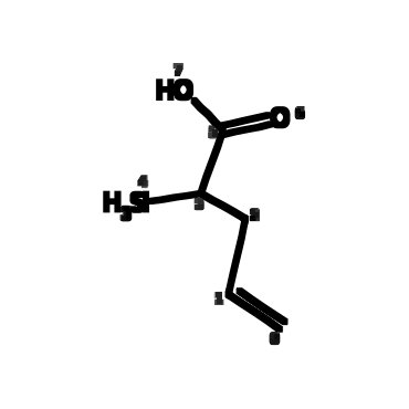 C=CCC([SiH3])C(=O)O